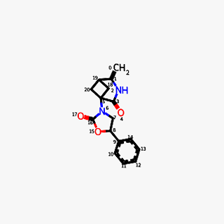 C=C1NC(=O)C2(N3CC(c4ccccc4)OC3=O)CC1C2